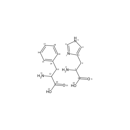 NC(Cc1c[nH]cn1)C(=O)O.NC(Cc1ccccc1)C(=O)O